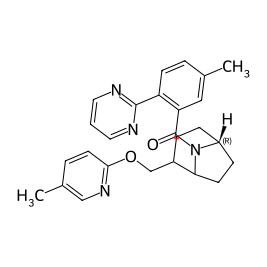 Cc1ccc(OCC2CC[C@@H]3CCC2N3C(=O)c2cc(C)ccc2-c2ncccn2)nc1